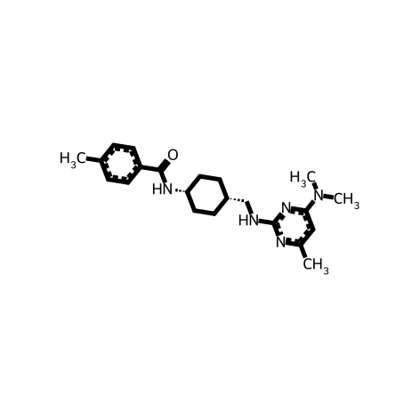 Cc1ccc(C(=O)N[C@H]2CC[C@@H](CNc3nc(C)cc(N(C)C)n3)CC2)cc1